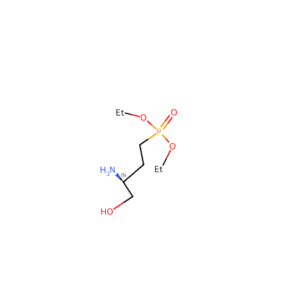 CCOP(=O)(CC[C@H](N)CO)OCC